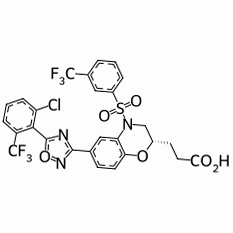 O=C(O)CC[C@H]1CN(S(=O)(=O)c2cccc(C(F)(F)F)c2)c2cc(-c3noc(-c4c(Cl)cccc4C(F)(F)F)n3)ccc2O1